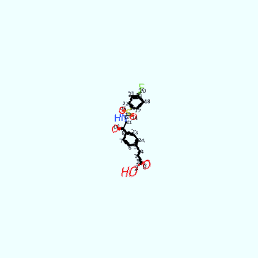 O=C(O)CCc1ccc(C(=O)CNS(=O)(=O)c2ccc(F)cc2)cc1